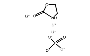 O=C1NCCO1.O=P([O-])([O-])[O-].[Li+].[Li+].[Li+]